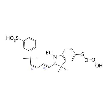 CC[N+]1=C(/C=C/C=C\C(C)(C)c2cccc(S(=O)(=O)O)c2)C(C)(C)c2cc(SOOO)ccc21